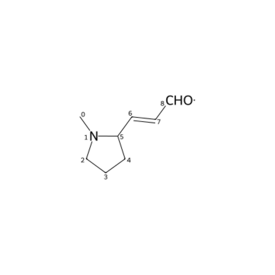 CN1CCCC1C=C[C]=O